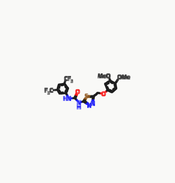 COc1ccc(OCc2nnc(NC(=O)Nc3cc(C(F)(F)F)cc(C(F)(F)F)c3)s2)cc1OC